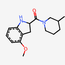 COc1cccc2c1CC(C(=O)N1CCCC(C)C1)N2